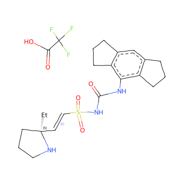 CC[C@@]1(/C=C/S(=O)(=O)NC(=O)Nc2c3c(cc4c2CCC4)CCC3)CCCN1.O=C(O)C(F)(F)F